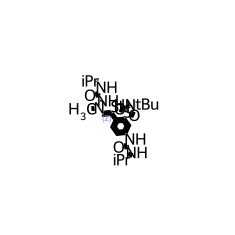 CC(C)NC(=O)Nc1ccc(/C(S)=C/N(C)NC(=O)NC(C)C)c(S(=O)(=O)NC(C)(C)C)c1